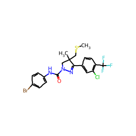 CSCC1(C)CN(C(=O)Nc2ccc(Br)cc2)N=C1c1ccc(C(F)(F)F)c(Cl)c1